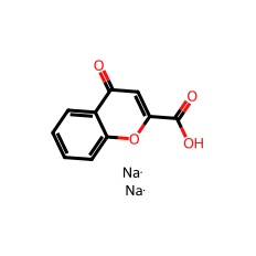 O=C(O)c1cc(=O)c2ccccc2o1.[Na].[Na]